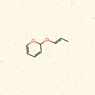 CC=COC1C=CC=CO1